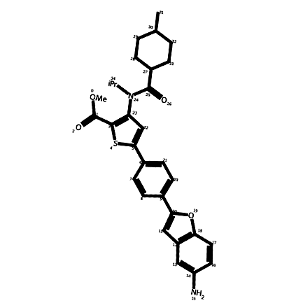 COC(=O)c1sc(-c2ccc(-c3cc4cc(N)ccc4o3)cc2)cc1N(C(=O)C1CCC(C)CC1)C(C)C